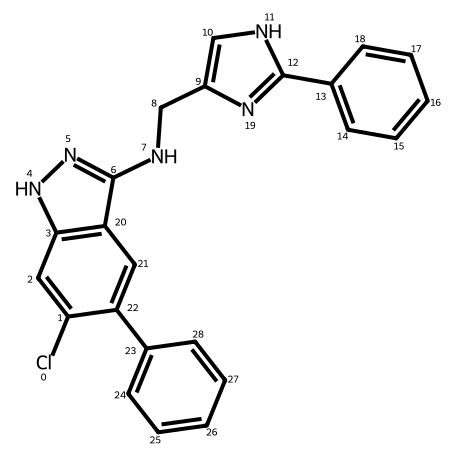 Clc1cc2[nH]nc(NCc3c[nH]c(-c4ccccc4)n3)c2cc1-c1ccccc1